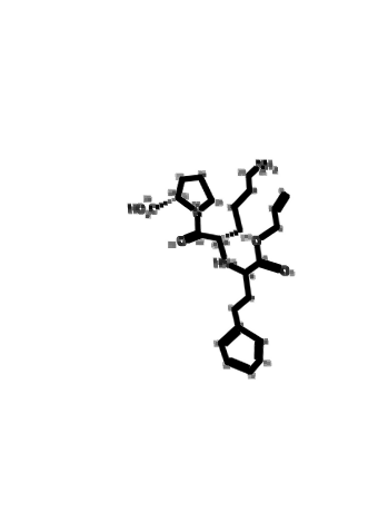 C=CCOC(=O)C(CCc1ccccc1)N[C@@H](CCCCN)C(=O)N1CCC[C@H]1C(=O)O